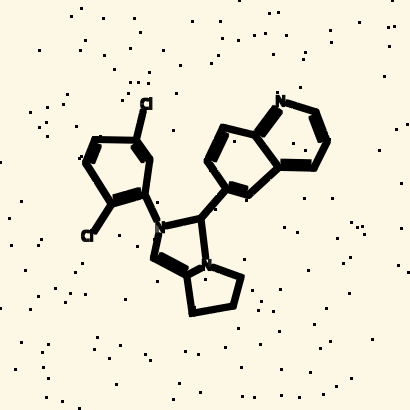 Clc1ccc(Cl)c(N2C=C3CCCN3C2c2ccc3ncccc3c2)c1